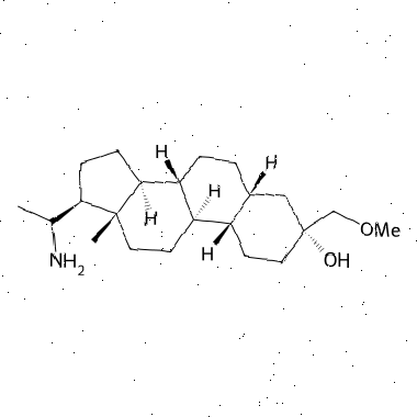 COC[C@@]1(O)CC[C@H]2[C@H](CC[C@@H]3[C@@H]2CC[C@]2(C)[C@@H](C(C)N)CC[C@@H]32)C1